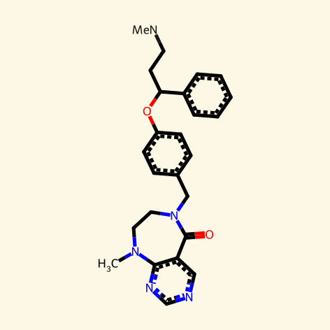 CNCCC(Oc1ccc(CN2CCN(C)c3ncncc3C2=O)cc1)c1ccccc1